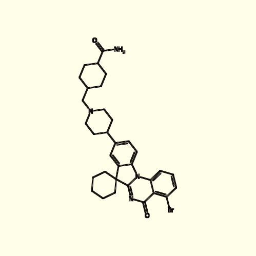 NC(=O)C1CCC(CN2CCC(c3ccc4c(c3)C3(CCCCC3)c3nc(=O)c5c(Br)cccc5n3-4)CC2)CC1